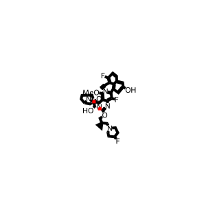 C#Cc1c(F)ccc2cc(O)cc(-c3nc(OC)c4c(N5CC6CCC(C5)N6C(=O)[C@H](C)O)nc(OCC5(CN6CCC(F)CC6)CC5)nc4c3F)c12